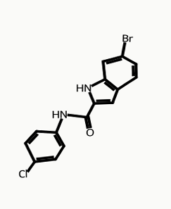 O=C(Nc1ccc(Cl)cc1)c1cc2ccc(Br)cc2[nH]1